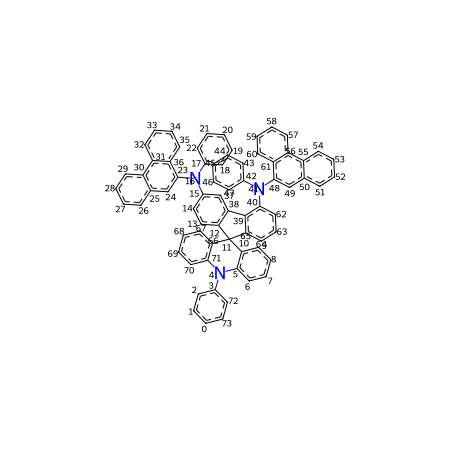 c1ccc(N2c3ccccc3C3(c4ccc(N(c5ccccc5)c5cc6ccccc6c6ccccc56)cc4-c4c(N(c5ccccc5)c5cc6ccccc6c6ccccc56)cccc43)c3ccccc32)cc1